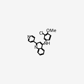 COc1ccc(Nc2cc(-c3ccncc3)nc3ccccc23)cc1Cl